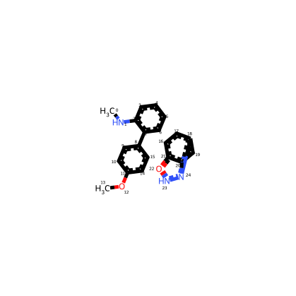 CNc1ccccc1-c1ccc(OC)cc1.c1cc2cc3c1o[nH]n2-3